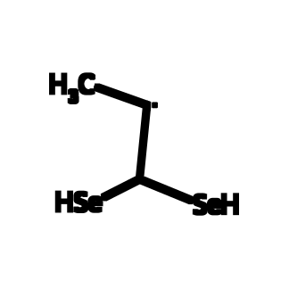 C[CH]C([SeH])[SeH]